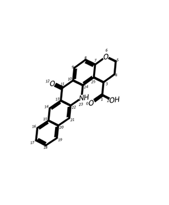 O=C(O)C1CCOc2ccc3c(=O)c4cc5ccccc5cc4[nH]c3c21